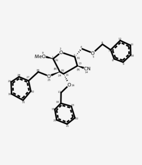 CO[C@H]1O[C@H](COCc2ccccc2)[C@@H](C#N)[C@H](OCc2ccccc2)[C@H]1OCc1ccccc1